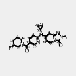 Cn1nc2cc(N(c3ccc(C(=O)N4CCCC(F)C4)cn3)C3CC3)ccn2c1=O